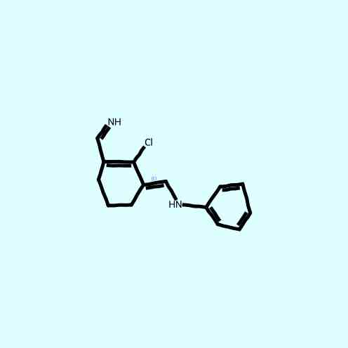 N=CC1=C(Cl)/C(=C/Nc2ccccc2)CCC1